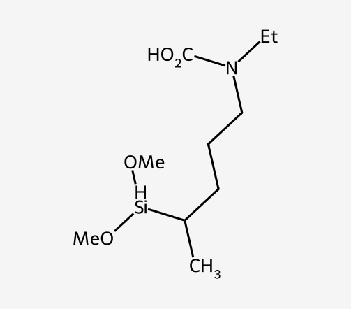 CCN(CCCC(C)[SiH](OC)OC)C(=O)O